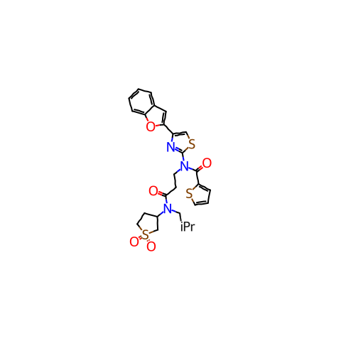 CC(C)CN(C(=O)CCN(C(=O)c1cccs1)c1nc(-c2cc3ccccc3o2)cs1)C1CCS(=O)(=O)C1